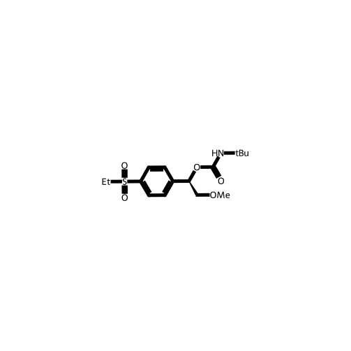 CCS(=O)(=O)c1ccc([C@H](COC)OC(=O)NC(C)(C)C)cc1